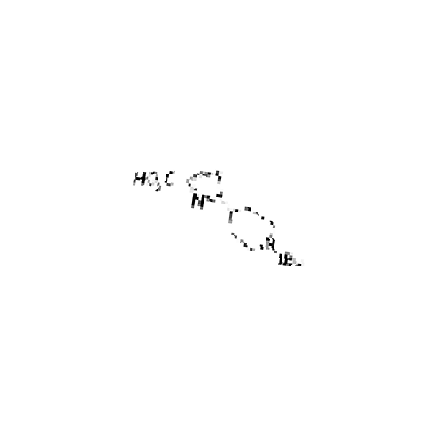 CC(C)(C)N1CCC(c2nc(C(=O)O)cs2)CC1